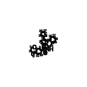 CN1CCOc2cc(S(=O)(=O)N[C@@H](Cc3cc[c]cc3)c3csc(-c4cccs4)n3)ccc21